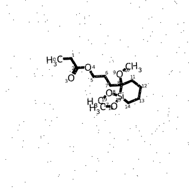 CCC(=O)OCCCC1(OC)CCCC[Si]1(OC)OC